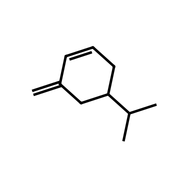 C=C1C=CCC(C(C)C)C1